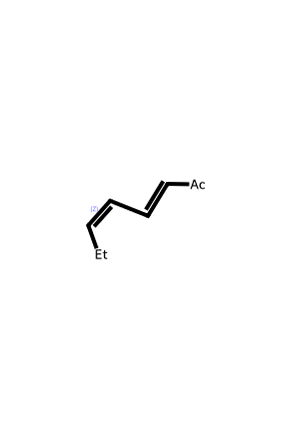 CC/C=C\C=CC(C)=O